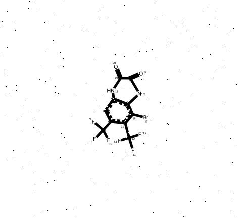 O=C1[N]c2c(cc(C(F)(F)F)c(C(F)(F)F)c2Br)NC1=O